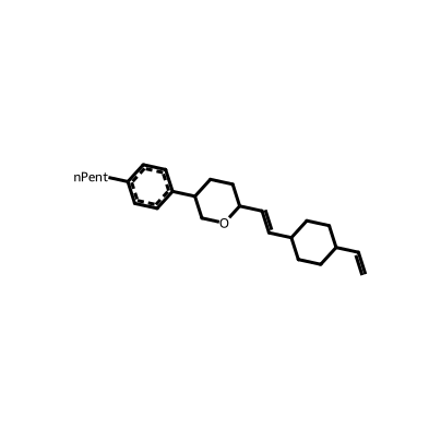 C=CC1CCC(/C=C/C2CCC(c3ccc(CCCCC)cc3)CO2)CC1